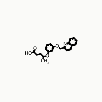 CC(CCC(=O)O)Oc1cccc(OCc2ccc3ccccc3n2)c1